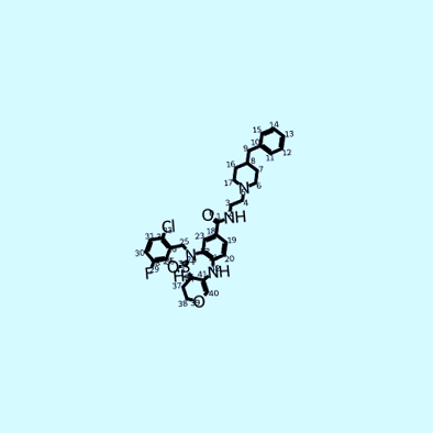 O=C(NCCN1CCC(Cc2ccccc2)CC1)c1ccc2c(c1)N(Cc1cc(F)ccc1Cl)[S+]([O-])[C@@H]1CCOC=C1N2